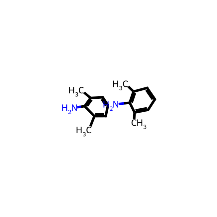 Cc1cccc(C)c1N.Cc1cccc(C)c1N